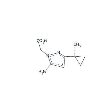 CC1(c2cc(N)n(CC(=O)O)n2)CC1